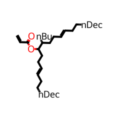 C=CC(=O)OC(CCC=CCCCCCCCCCCCC)C(CCC=CCCCCCCCCCCCC)CCCC